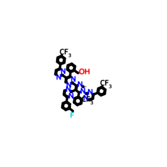 OCc1ccccc1-c1nc(C2=C(c3nccc(-c4cccc(CF)c4)n3)C(c3ccccc3C(F)(F)F)N(c3nccc(-c4cccc(C(F)(F)F)c4)n3)[C]=N2)ncc1-c1nccc(-c2ccc(C(F)(F)F)cc2)n1